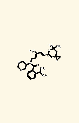 CC(=O)OC(C)c1ccccc1C(=O)N(CC=C(C)C=C[C@@H]1C[C@]2(CO2)CC(C)(C)O1)C1COCOC1